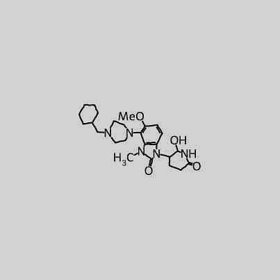 COc1ccc2c(c1N1CCN(CC3CCCCC3)CC1)n(C)c(=O)n2C1CCC(=O)NC1O